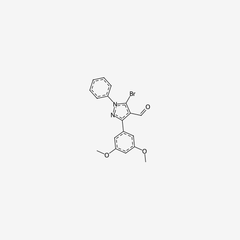 COc1cc(OC)cc(-c2nn(-c3ccccc3)c(Br)c2C=O)c1